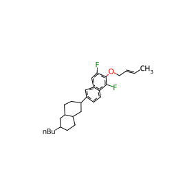 CC=CCOc1c(F)cc2cc(C3CCC4CC(CCCC)CCC4C3)ccc2c1F